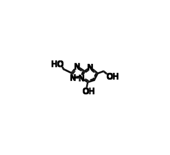 OCc1cc(O)n2nc(CO)nc2n1